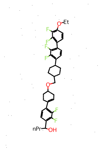 CCCC(O)c1ccc(C2=CCC(OCC3CCC(c4ccc(-c5ccc(OCC)c(F)c5F)c(F)c4F)CC3)CC2)c(F)c1F